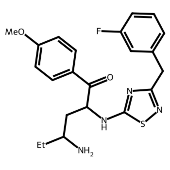 CCC(N)CC(Nc1nc(Cc2cccc(F)c2)ns1)C(=O)c1ccc(OC)cc1